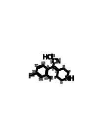 Cl.N#CC(=C1CCNCC1)c1ccc(F)cc1F